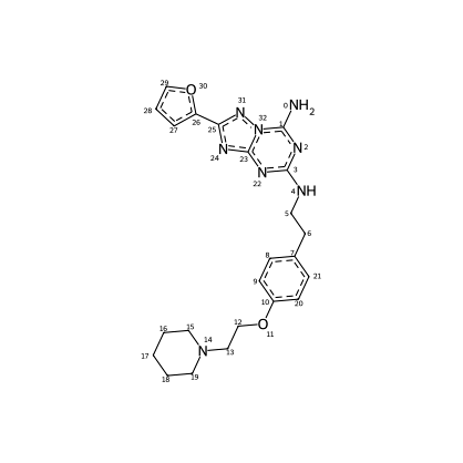 Nc1nc(NCCc2ccc(OCCN3CCCCC3)cc2)nc2nc(-c3ccco3)nn12